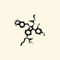 CCCCN(C(N)=O)c1ccc2c(c1)c(-c1ccc(OC)cc1OC)c(OC(=O)OCC)n2Cc1ccc2nsnc2c1